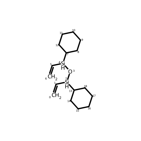 C=C[SiH](O[SiH](C=C)C1CCCCC1)C1CCCCC1